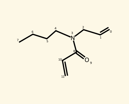 C=CCN(CCCC)C(=O)C=C